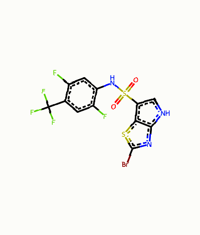 O=S(=O)(Nc1cc(F)c(C(F)(F)F)cc1F)c1c[nH]c2nc(Br)sc12